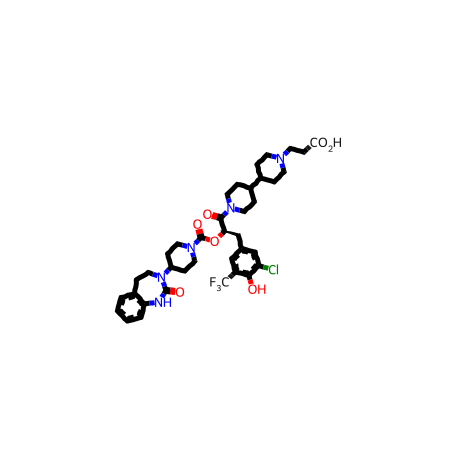 O=C(O)CCN1CCC(C2CCN(C(=O)[C@@H](Cc3cc(Cl)c(O)c(C(F)(F)F)c3)OC(=O)N3CCC(N4CCc5ccccc5NC4=O)CC3)CC2)CC1